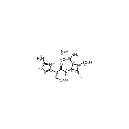 CO/N=C(\C(=O)N[C@@H]1C(=O)N(S(=O)(=O)O)[C@@H]1C(N)=O)c1csc(N)n1.[NaH]